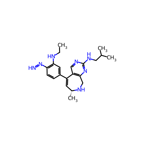 CCNc1cc(C2=C[C@@H](C)NCc3nc(NCC(C)C)ncc32)ccc1N=N